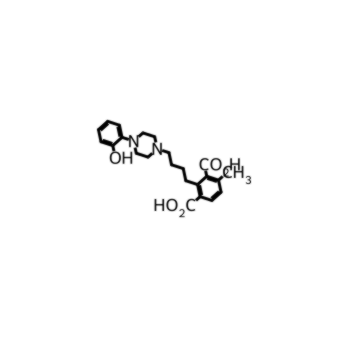 Cc1ccc(C(=O)O)c(CCCCN2CCN(c3ccccc3O)CC2)c1C(=O)O